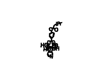 CC(C)CC(=O)Oc1ccc(C2OP(=O)(O)C(O)(Cc3cccnc3)P(=O)(O)O2)cc1